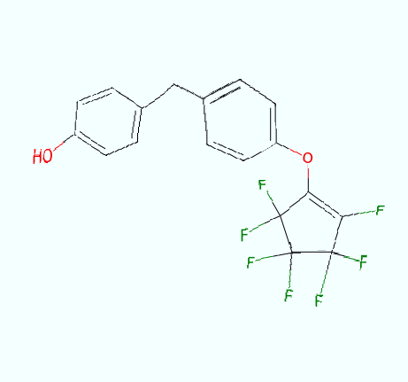 Oc1ccc(Cc2ccc(OC3=C(F)C(F)(F)C(F)(F)C3(F)F)cc2)cc1